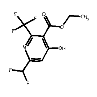 CCOC(=O)c1c(O)cc(C(F)F)nc1C(F)(F)F